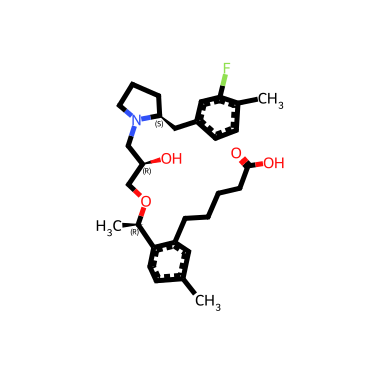 Cc1ccc([C@@H](C)OC[C@H](O)CN2CCC[C@H]2Cc2ccc(C)c(F)c2)c(CCCCC(=O)O)c1